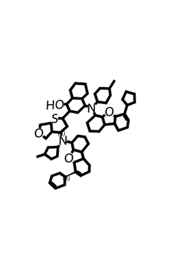 CC1CCC(N(C2CC(C3C[C@@H](N(C4CCC(C)C4)C4CCCC5C6CCC=C([C@H]7CC=CCC7)C6OC54)C4COCC4S3)C(O)C3CCCCC32)C2CCCC3C4CCC=C(C5CCCC5)C4OC32)CC1